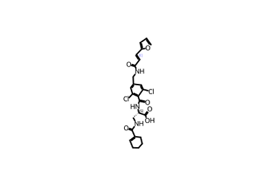 O=C(/C=C/c1ccco1)NCc1cc(Cl)c(C(=O)N[C@@H](CNC(=O)C2=CCCCC2)C(=O)O)c(Cl)c1